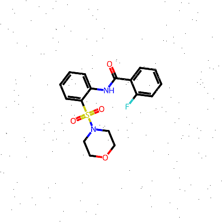 O=C(Nc1ccccc1S(=O)(=O)N1CCOCC1)c1ccccc1F